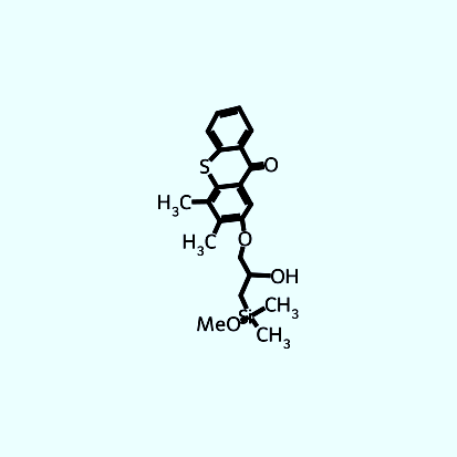 CO[Si](C)(C)CC(O)COc1cc2c(=O)c3ccccc3sc2c(C)c1C